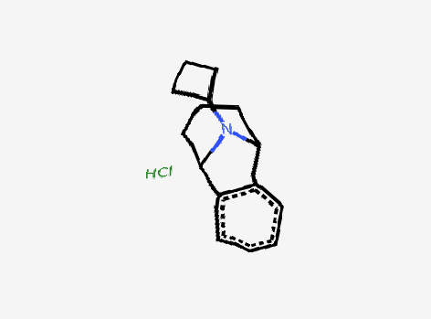 Cl.c1ccc2c(c1)C1CCCC2N1C1CCC1